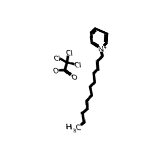 CCCCCCCCCCCC[n+]1ccccc1.O=C([O-])C(Cl)(Cl)Cl